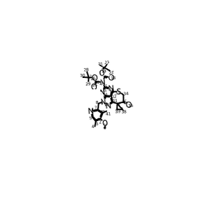 COc1c(C)cnc(Cn2nc3c4c(nc(N(C(=O)OC(C)(C)C)C(=O)OC(C)(C)C)nc42)SCC(=O)C32CC2)c1C